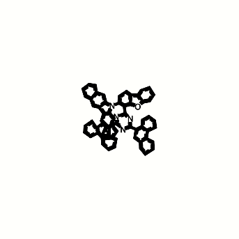 c1ccc2cc3c(cc2c1)c1cc2ccccc2cc1n3-c1ccc2c(oc3ccccc32)c1-c1nc(-c2cc3ccccc3c3ccccc23)nc(-c2cc3ccccc3c3ccccc23)n1